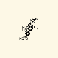 CC1(C)C(c2ccc(C(=O)CO)cc2)=CC[C@]2(C)CN(c3ncc(Br)s3)CC=C12